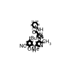 COc1c(C#N)cc(C(C)(C)C)cc1Nc1cnc(C)c(-n2cc(C(=O)NN3CCCCC3)nn2)c1